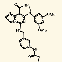 COc1cc(Nc2nc(NCc3cccc(NC(=O)CC#N)c3)n3ccnc3c2C(N)=O)cc(OC)c1